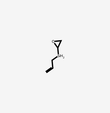 C=CC[SiH2]C1CO1